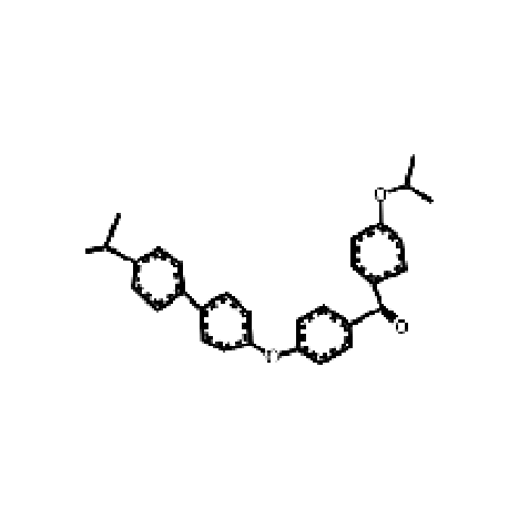 CC(C)Oc1ccc(C(=O)c2ccc(Oc3ccc(-c4ccc(C(C)C)cc4)cc3)cc2)cc1